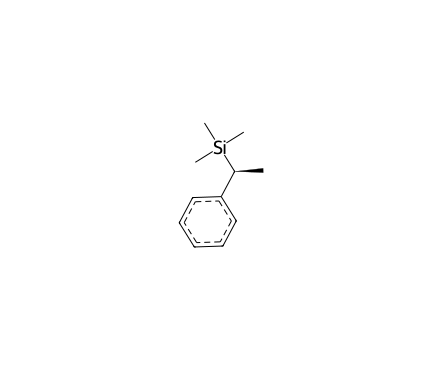 C[C@@H](c1ccccc1)[Si](C)(C)C